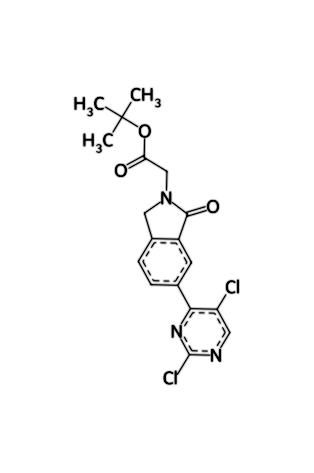 CC(C)(C)OC(=O)CN1Cc2ccc(-c3nc(Cl)ncc3Cl)cc2C1=O